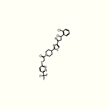 O=C(CSc1ccc(C(F)(F)F)nn1)N1CCC(c2nc(C3=NOC(c4[c]cccc4Cl)C3)cs2)CC1